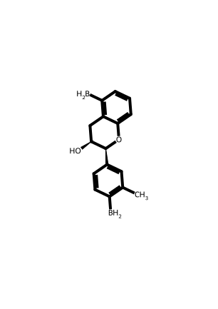 Bc1ccc([C@@H]2Oc3cccc(B)c3C[C@@H]2O)cc1C